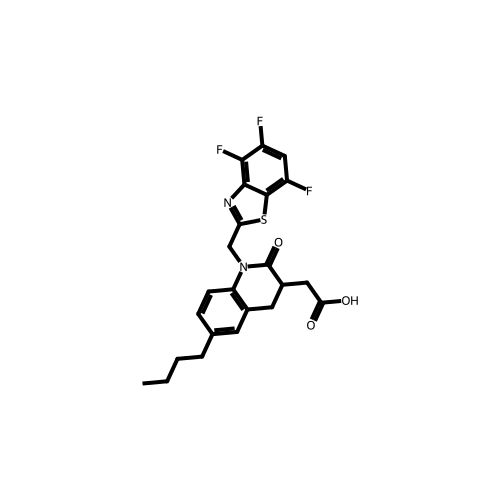 CCCCc1ccc2c(c1)CC(CC(=O)O)C(=O)N2Cc1nc2c(F)c(F)cc(F)c2s1